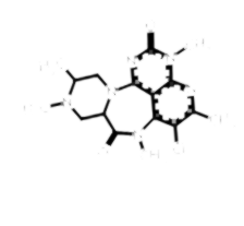 Cc1nc2c3c(nc(=O)n2C)N2CC(C)N(C)CC2C(=O)N(C)c3c1Cl